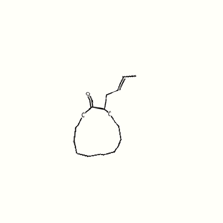 CC=CCC1CCCCCCCCCCC1=O